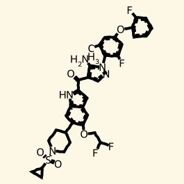 Cc1cc(Oc2ccccc2F)cc(F)c1-n1ncc(C(=O)c2cc3cc(OCC(F)F)c(C4CCN(S(=O)(=O)C5CC5)CC4)cc3[nH]2)c1N